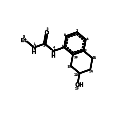 CCNC(=O)Nc1cccc2c1CC(O)CC2